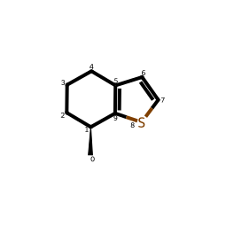 C[C@H]1CCCc2ccsc21